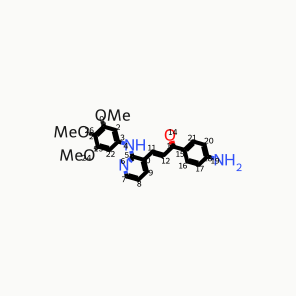 COc1cc(Nc2ncccc2C=CC(=O)c2ccc(N)cc2)cc(OC)c1OC